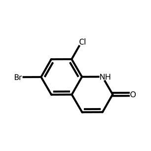 O=c1ccc2cc(Br)cc(Cl)c2[nH]1